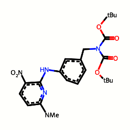 CNc1ccc([N+](=O)[O-])c(Nc2cccc(CN(C(=O)OC(C)(C)C)C(=O)OC(C)(C)C)c2)n1